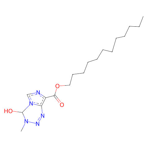 CCCCCCCCCCCCOC(=O)c1ncn2c1N=NN(C)C2O